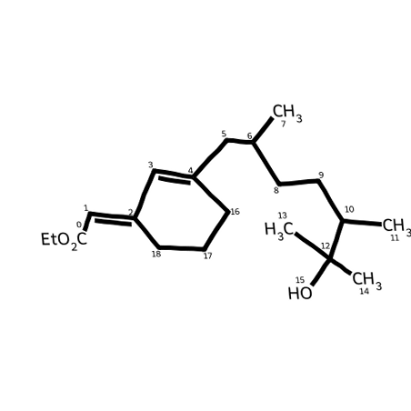 CCOC(=O)/C=C1/C=C(CC(C)CCC(C)C(C)(C)O)CCC1